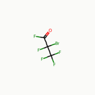 O=C(F)C(F)(Br)C(F)(F)F